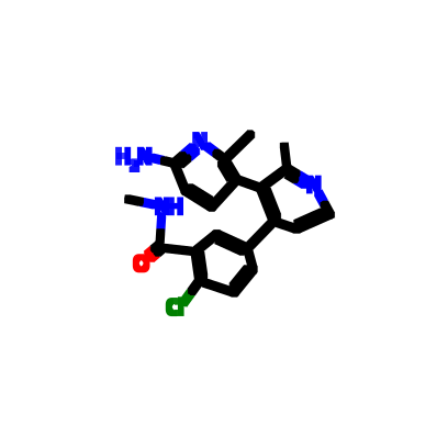 CNC(=O)c1cc(-c2ccnc(C)c2-c2ccc(N)nc2C)ccc1Cl